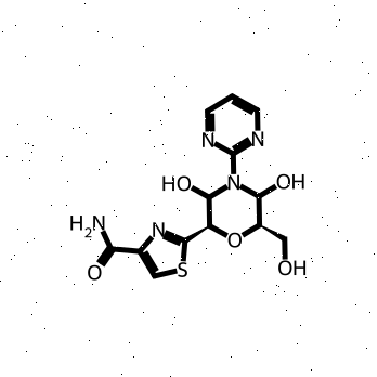 NC(=O)c1csc([C@@H]2O[C@H](CO)C(O)N(c3ncccn3)C2O)n1